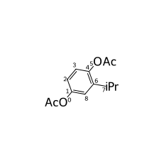 CC(=O)Oc1ccc(OC(C)=O)c(C(C)C)c1